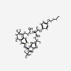 CCCCOc1ccc(OC(C)C(=O)NCC(C)c2nc3n(n2)N=C(C(C)(C)C)/C3=N/c2ccc3c(c2)C(C)CC(C)(C)N3CCCO)cc1